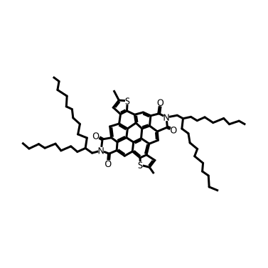 CCCCCCCCCCC(CCCCCCCC)Cn1c(=O)c2cc3c4cc(C)sc4c4cc5c(=O)n(CC(CCCCCCCC)CCCCCCCCCC)c(=O)c6cc7c8cc(C)sc8c8cc(c1=O)c2c1c3c4c(c65)c7c81